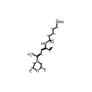 C=C/C(=C\C=C(/N)N1C[C@@H](C)O[C@@H](C)C1)NC(=O)CCCCNC